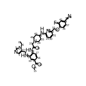 CCn1cncc1CNc1cc(C(=O)OC)ccc1NC(=O)CN1CCC(Nc2cccc(COc3ccc(C#N)cc3F)n2)CC1